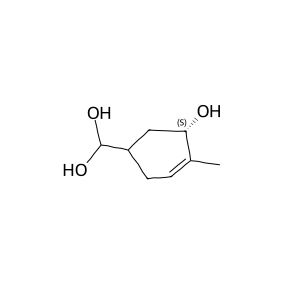 CC1=CCC(C(O)O)C[C@@H]1O